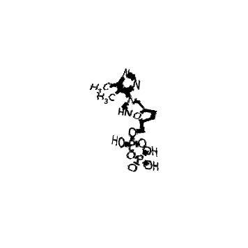 Cc1ncnc(N(C=N)C[C@H]2CCC(COP(=O)(O)OP(=O)(O)O)O2)c1C